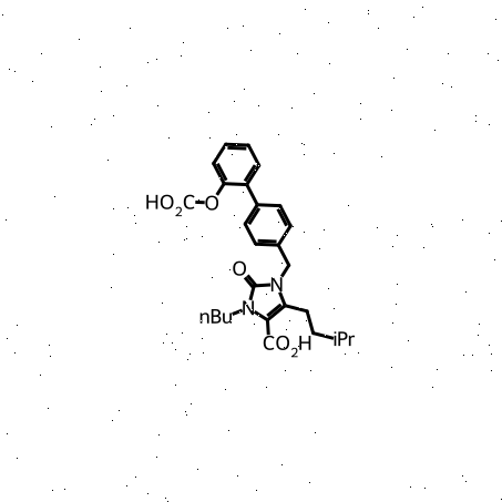 CCCCn1c(C(=O)O)c(CCC(C)C)n(Cc2ccc(-c3ccccc3OC(=O)O)cc2)c1=O